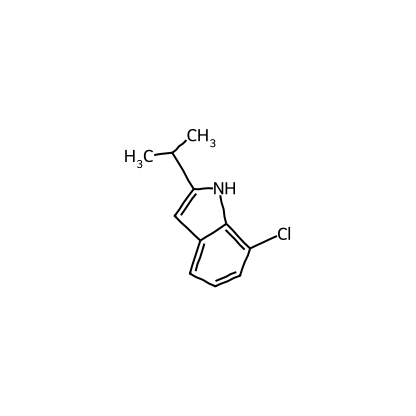 CC(C)c1cc2cccc(Cl)c2[nH]1